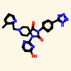 Cc1cccnc1CN1CCC2(CC1)C(=O)N(c1ccc(-c3nnn[nH]3)cc1)C(=O)N2c1nccc(O)n1